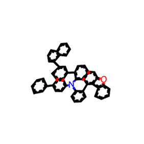 c1ccc(-c2ccc(N(c3ccccc3-c3cccc(-c4cccc5ccccc45)c3)c3ccccc3-c3cccc4oc5ccccc5c34)cc2)cc1